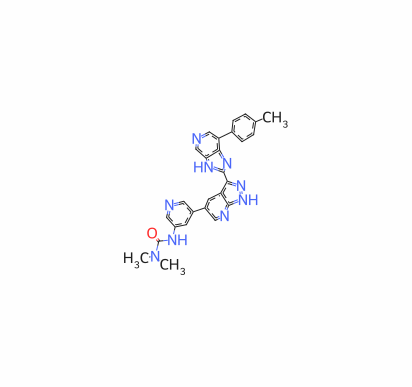 Cc1ccc(-c2cncc3[nH]c(-c4n[nH]c5ncc(-c6cncc(NC(=O)N(C)C)c6)cc45)nc23)cc1